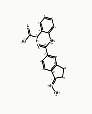 O=C(O)Nc1ccccc1NC(=O)c1ccc2c(c1)CCC2=NO